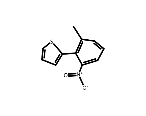 Cc1cccc([N+](=O)[O-])c1-c1cccs1